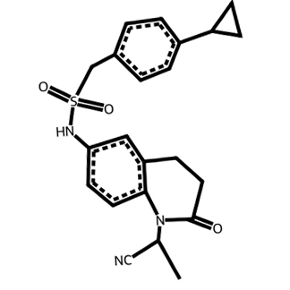 CC(C#N)N1C(=O)CCc2cc(NS(=O)(=O)Cc3ccc(C4CC4)cc3)ccc21